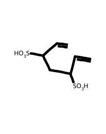 C=CC(CC(C=C)S(=O)(=O)O)S(=O)(=O)O